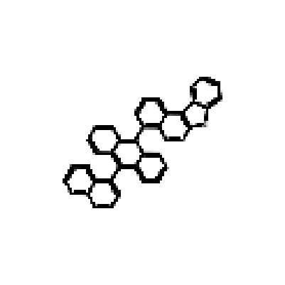 c1ccc2c(-c3c4ccccc4c(-c4cccc5c4ccc4sc6ccccc6c45)c4ccccc34)cccc2c1